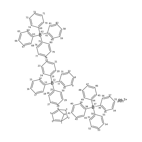 C1=C2CCC(=C1)C2.[Rh+3].c1ccc([B-](c2ccccc2)(c2ccccc2)c2ccccc2)cc1.c1ccc([B-](c2ccccc2)(c2ccccc2)c2ccccc2)cc1.c1ccc([B-](c2ccccc2)(c2ccccc2)c2ccccc2)cc1